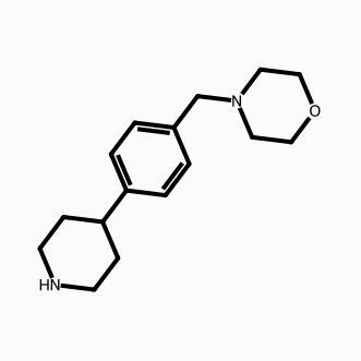 c1cc(C2CCNCC2)ccc1CN1CCOCC1